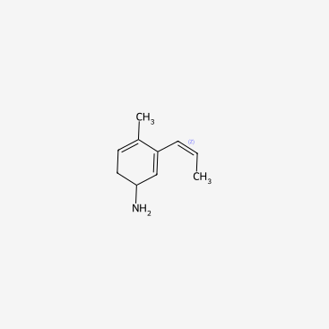 C/C=C\C1=CC(N)CC=C1C